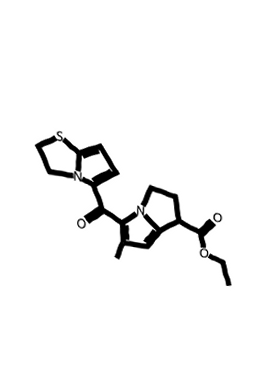 CCOC(=O)C1CCn2c1cc(C)c2C(=O)c1ccc2n1CCS2